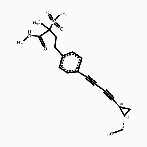 CC(CCc1ccc(C#CC#C[C@H]2C[C@@H]2CO)cc1)(C(=O)NO)S(C)(=O)=O